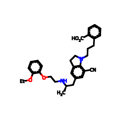 CCOc1ccccc1OCCN[C@H](C)Cc1cc(C#N)c2c(c1)CCN2CCCc1ccccc1C(=O)O